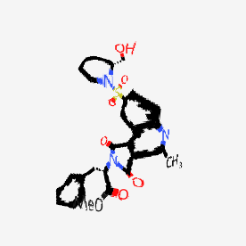 COC(=O)[C@H](Cc1ccccc1)N1C(=O)c2c(C)nc3ccc(S(=O)(=O)N4CCC[C@@H]4CO)cc3c2C1=O